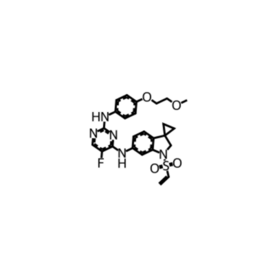 C=CS(=O)(=O)N1CC2(CC2)c2ccc(Nc3nc(Nc4ccc(OCCOC)cc4)ncc3F)cc21